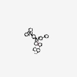 C1=Cc2ccc(-c3ccc(N(c4ccc(-c5ccccc5)cc4)c4ccc(-n5c6ccccc6c6ccccc65)cc4)cc3)c3c(-c4ccccc4)ccc1c23